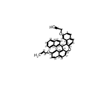 C#CCOc1ccc2ccc3c(c2c1)C(c1ccc2ccccc2c1)c1c(ccc2ccc(OCC=C)cc12)O3